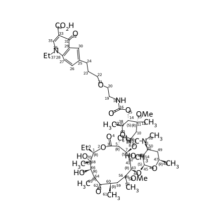 CC[C@H]1OC(=O)[C@H](C)[C@@H](O[C@H]2C[C@@](C)(OC)[C@@H](OC(=O)NCCOCCCc3ccc4c(c3)c(=O)c(C(=O)O)cn4CC)[C@H](C)O2)[C@H](C)[C@@H](O[C@@H]2O[C@H](C)C[C@H](N(C)C)[C@H]2O)[C@](C)(OC)C[C@@H](C)C(=O)[C@H](C)[C@@H](O)[C@]1(C)O